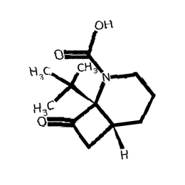 CC(C)(C)[C@]12C(=O)C[C@H]1CCCN2C(=O)O